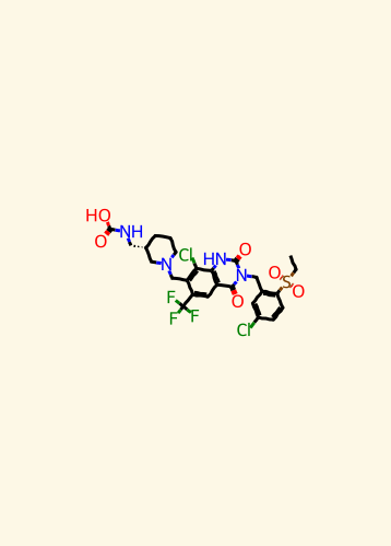 CCS(=O)(=O)c1ccc(Cl)cc1Cn1c(=O)[nH]c2c(Cl)c(CN3CCC[C@@H](CNC(=O)O)C3)c(C(F)(F)F)cc2c1=O